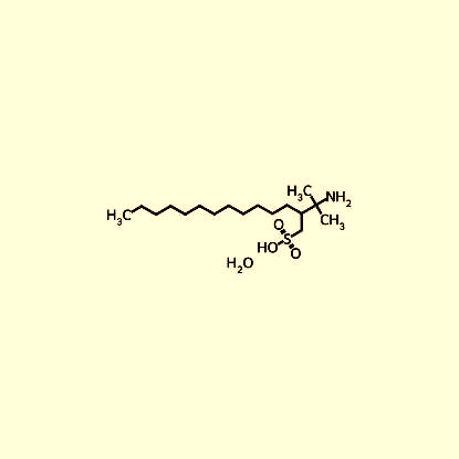 CCCCCCCCCCCCC(CS(=O)(=O)O)C(C)(C)N.O